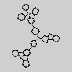 C1=c2oc3ccccc3c2=CCC1N(c1ccc(-c2ccc([Si](c3ccccc3)(c3ccccc3)c3ccccc3)cc2)cc1)c1ccc(-c2cc3c4ccccc4n4c5ccccc5c(c2)c34)cc1